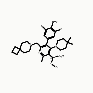 COc1c(F)cc(-c2c(CN3CCC4(CCC4)CC3)nc(C)c([C@H](OC(C)(C)C)C(=O)O)c2N2CCC(C)(C)CC2)cc1F